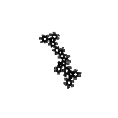 CC1(C)c2cc(-c3ccc4c(c3)c3ccccc3n4-c3ccccc3)ccc2-c2cc3c(cc21)C(C)(C)c1cc(-c2ccc4c(c2)c2ccccc2n4-c2ccccc2)c2c(oc4ccccc42)c1-3